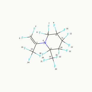 FC(F)=C(N1C(F)(F)C(F)(F)C(F)(F)C(F)(F)C1(F)C(F)(F)F)C(F)(F)F